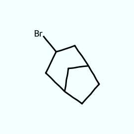 BrC1CC2CCC(C1)C2